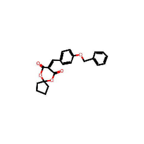 O=C1OC2(CCCC2)OC(=O)C1=Cc1ccc(OCc2ccccc2)cc1